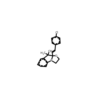 CC1(C)c2ccccc2N2CCOC21C=Cc1ccc(Cl)cc1